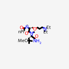 CCCC(=O)N(C)[C@H](COCCCN(CC)CC)C(=O)N(C)[C@@H](CC(C)(C)OC)C(N)=O